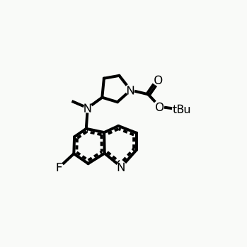 CN(c1cc(F)cc2ncccc12)C1CCN(C(=O)OC(C)(C)C)C1